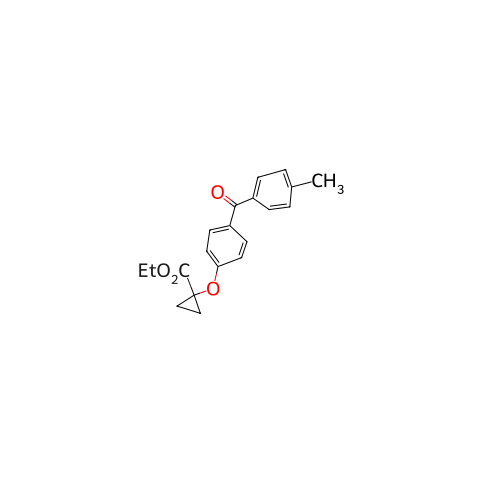 CCOC(=O)C1(Oc2ccc(C(=O)c3ccc(C)cc3)cc2)CC1